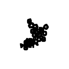 C=C[C@@H]1C[C@]1(NC(=O)[C@@H]1C[C@@H](Oc2nccc3cc(OC)ccc23)CN1C(=O)[C@@H](NC(=O)NC1CCCC1)[C@H](C)OC)C(=O)NS(=O)(=O)C1CC1